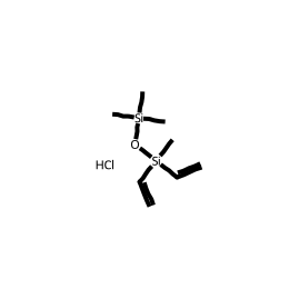 C=C[Si](C)(C=C)O[Si](C)(C)C.Cl